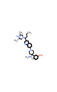 CCCC(c1cnc2cc(N3CCC(c4cccc(O)c4)(N(C)C)CC3)ccc2c1)N1C[C@@H](C)N[C@@H](C)C1